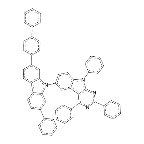 c1ccc(-c2ccc(-c3ccc4c5ccc(-c6ccccc6)cc5n(-c5ccc6c(c5)c5c(-c7ccccc7)nc(-c7ccccc7)nc5n6-c5ccccc5)c4c3)cc2)cc1